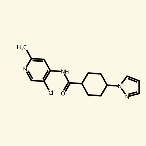 Cc1cc(NC(=O)C2CCC(n3cccn3)CC2)c(Cl)cn1